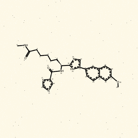 CNC(=O)CCCCC[C@H](NC(=O)c1cncs1)c1ncc(-c2ccc3cc(OC)ccc3c2)[nH]1